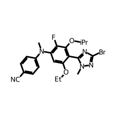 CCOc1cc(N(C)c2ccc(C#N)cc2)c(F)c(OC(C)C)c1-c1nc(Br)nn1C